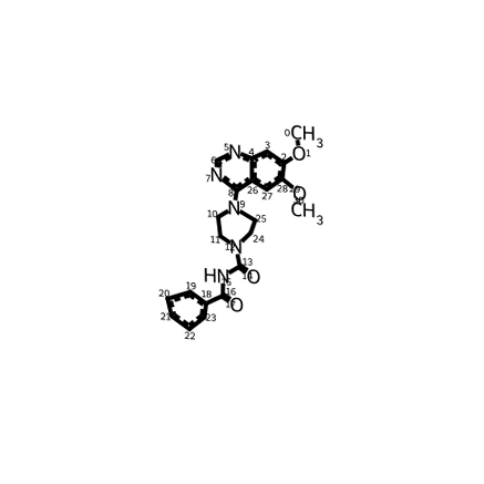 COc1cc2ncnc(N3CCN(C(=O)NC(=O)c4ccccc4)CC3)c2cc1OC